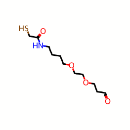 O=CCCOCCOCCCCNC(=O)CS